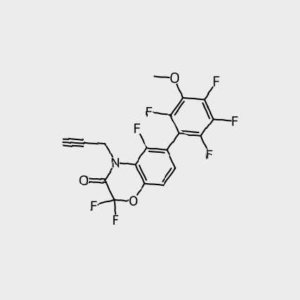 C#CCN1C(=O)C(F)(F)Oc2ccc(-c3c(F)c(F)c(F)c(OC)c3F)c(F)c21